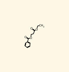 CCOC(=O)CCOC(=O)c1ccccc1